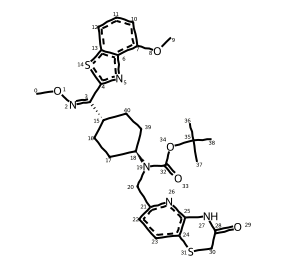 CON=C(c1nc2c(OC)cccc2s1)[C@H]1CC[C@H](N(Cc2ccc3c(n2)NC(=O)CS3)C(=O)OC(C)(C)C)CC1